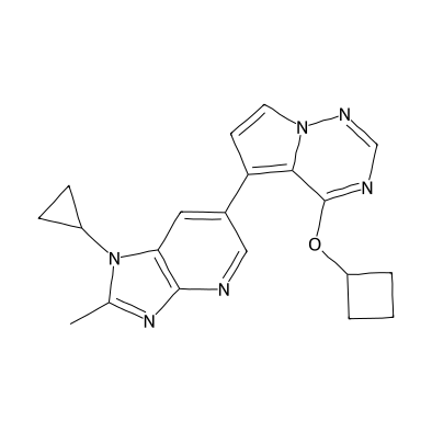 Cc1nc2ncc(-c3ccn4ncnc(OC5CCC5)c34)cc2n1C1CC1